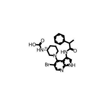 CC(C(=O)Nc1c[nH]c2ncc(Br)c(N3CCC[C@@H](NC(=O)O)C3)c12)c1ccccc1